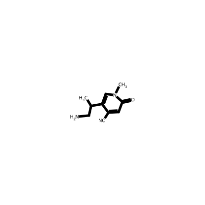 CC(CN)c1cn(C)c(=O)cc1C#N